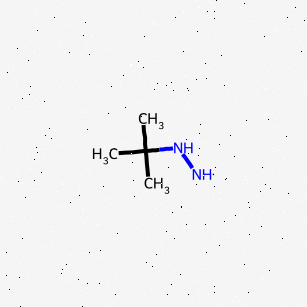 CC(C)(C)N[NH]